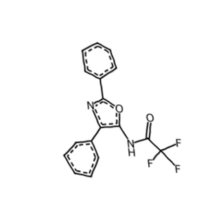 O=C(Nc1oc(-c2ccccc2)nc1-c1ccccc1)C(F)(F)F